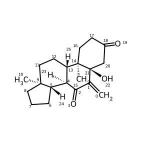 C=C1C(=O)[C@H]2[C@@H]3CCC[C@@]3(C)CC[C@@H]2[C@@]2(C)CCC(=O)C[C@]12O